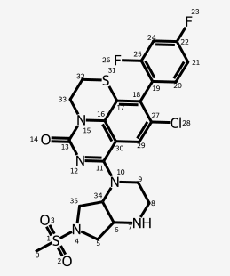 CS(=O)(=O)N1CC2NCCN(c3nc(=O)n4c5c(c(-c6ccc(F)cc6F)c(Cl)cc35)SCC4)C2C1